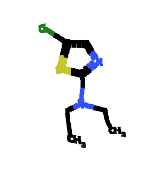 CCN(CC)c1ncc(Cl)s1